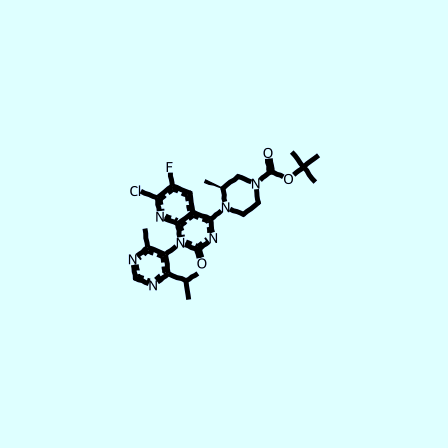 Cc1ncnc(C(C)C)c1-n1c(=O)nc(N2CCN(C(=O)OC(C)(C)C)C[C@@H]2C)c2cc(F)c(Cl)nc21